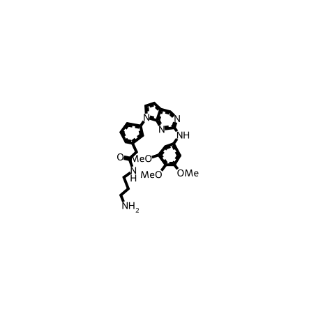 COc1cc(Nc2ncc3ccn(-c4cccc(CC(=O)NCCCN)c4)c3n2)cc(OC)c1OC